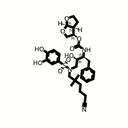 CC(C)(CCCC#N)CN(C[C@@H](O)[C@H](Cc1ccccc1)NC(=O)O[C@H]1CO[C@H]2OCC[C@H]21)S(=O)(=O)c1ccc(O)c(O)c1